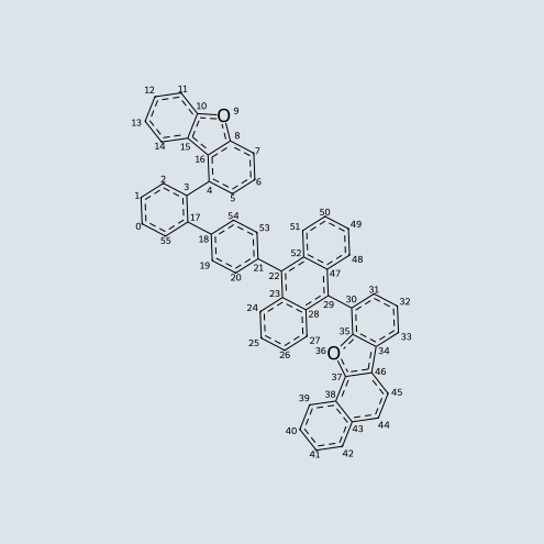 c1ccc(-c2cccc3oc4ccccc4c23)c(-c2ccc(-c3c4ccccc4c(-c4cccc5c4oc4c6ccccc6ccc54)c4ccccc34)cc2)c1